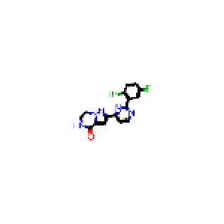 O=C1NCCn2nc(-c3ccnc(-c4cc(F)ccc4Br)n3)cc21